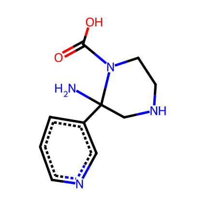 NC1(c2cccnc2)CNCCN1C(=O)O